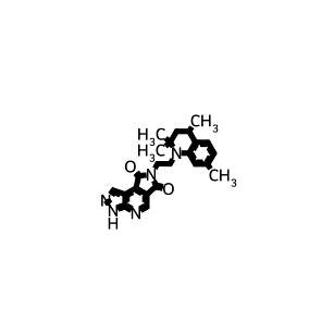 Cc1ccc2c(c1)N(CCN1C(=O)c3cnc4[nH]ncc4c3C1=O)C(C)(C)CC2C